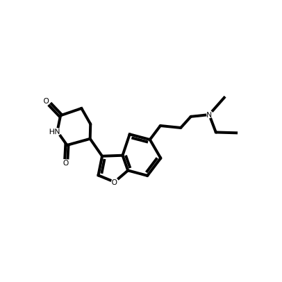 CCN(C)CCCc1ccc2occ(C3CCC(=O)NC3=O)c2c1